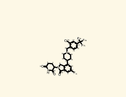 O=C1CCC(N2Cc3c(cc(F)cc3C3CCN(Cc4ccc(C(F)(F)F)cc4Cl)CC3)C2=O)C(=O)N1